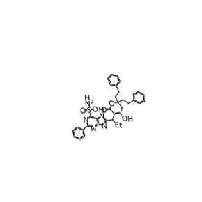 CCC(C1=C(O)CC(CCc2ccccc2)(CCc2ccccc2)OC1=O)c1nc2nc(-c3ccccc3)nc(S(N)(=O)=O)c2[nH]1